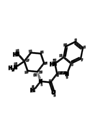 CCN(C(=O)c1nc2ccccc2[nH]1)[C@H]1CCCC(N)(S)C1